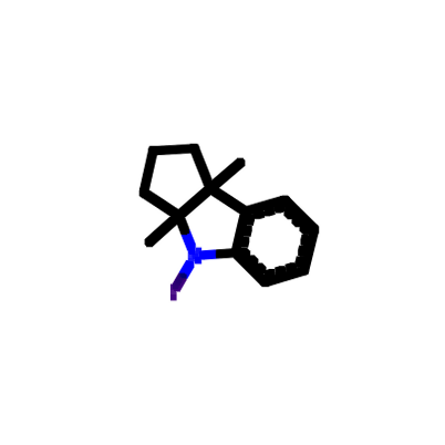 CC12CCCC1(C)N(I)c1ccccc12